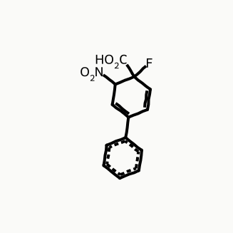 O=C(O)C1(F)C=CC(c2ccccc2)=CC1[N+](=O)[O-]